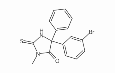 CN1C(=O)C(c2ccccc2)(c2cccc(Br)c2)NC1=S